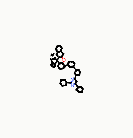 c1ccc(-c2cc(-c3cccc(-c4cccc(-c5cccc6c5Oc5cc7ccccc7cc5C65c6ccccc6-c6ccccc65)c4)c3)nc(-c3ccccc3)n2)cc1